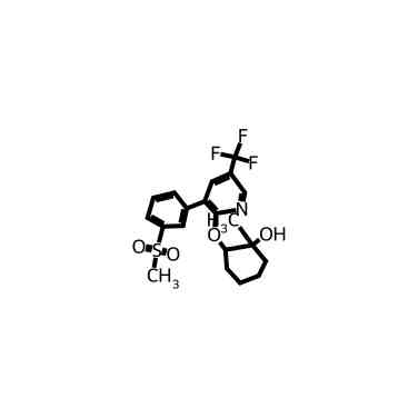 CC1(O)CCCCC1Oc1ncc(C(F)(F)F)cc1-c1cccc(S(C)(=O)=O)c1